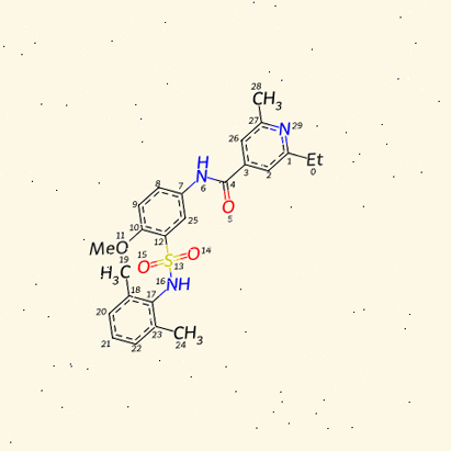 CCc1cc(C(=O)Nc2ccc(OC)c(S(=O)(=O)Nc3c(C)cccc3C)c2)cc(C)n1